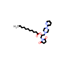 C=CCCCCCCCCC(=O)OC(CN1CCN(c2ccccn2)CC1)CN1C(=O)CCC1=O